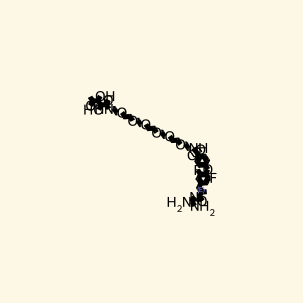 CC(=O)C(O)C(O)C(=O)NCCOCCOCCOCCOCCOCCOCCNS(=O)(=O)c1ccc(Oc2c(F)cc(/C=C(\C)C(=O)N=C(N)N)cc2F)cc1